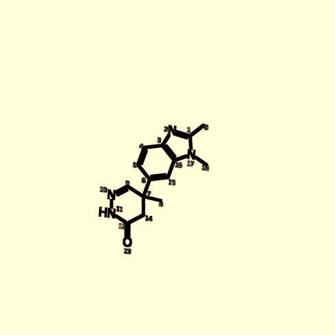 Cc1nc2ccc(C3(C)C=NNC(=O)C3)cc2n1C